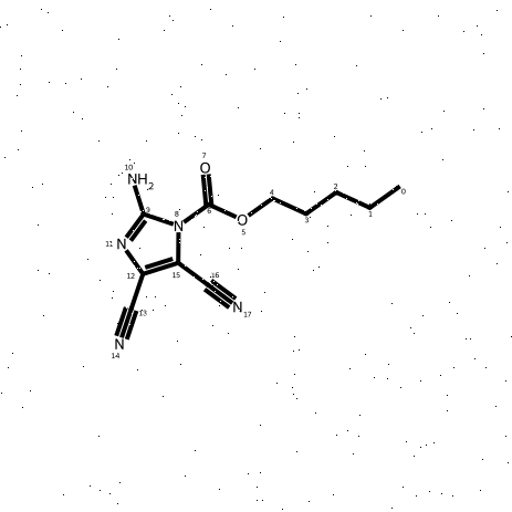 CCCCCOC(=O)n1c(N)nc(C#N)c1C#N